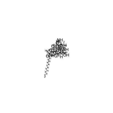 CCCCCCCCCCCCCC(=O)N[C@@H](CC(C)C)C(=O)N[C@H](C(=O)N1CCC[C@@H]1C(=O)N[C@H](C(=O)N[C@@H](C)C(=O)N[C@@H](CC(N)=O)C(=O)NCC=O)[C@@H](C)O)C(C)O